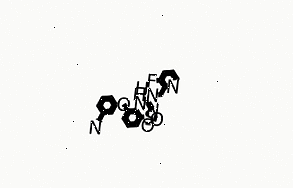 N#Cc1cccc(Oc2cccc3c2NC(NCc2ncccc2F)=NS3(=O)=O)c1